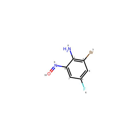 Nc1c(Br)cc(F)cc1N=O